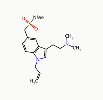 C=CCn1cc(CCN(C)C)c2cc(CS(=O)(=O)NC)ccc21